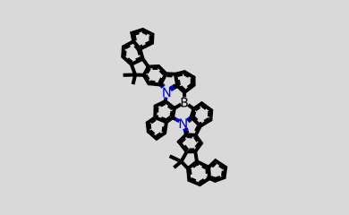 CC1(C)c2cc3c(cc2-c2c1ccc1ccccc21)c1cccc2c1n3-c1cc3ccccc3c3c1B2c1cccc2c4cc5c(cc4n-3c12)C(C)(C)c1ccc2ccccc2c1-5